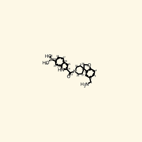 NCc1ccc2c(c1)C1(CCN(C(=O)c3cc4ccc(B(O)O)cc4[nH]3)CC1)CO2